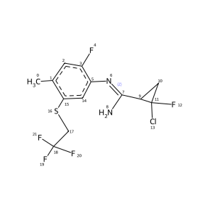 Cc1cc(F)c(/N=C(\N)C2CC2(F)Cl)cc1SCC(F)(F)F